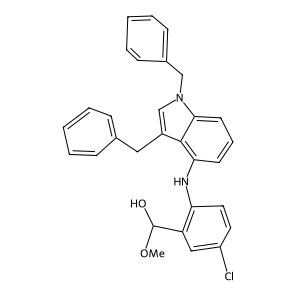 COC(O)c1cc(Cl)ccc1Nc1cccc2c1c(Cc1ccccc1)cn2Cc1ccccc1